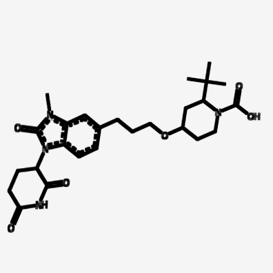 Cn1c(=O)n(C2CCC(=O)NC2=O)c2ccc(CCCOC3CCN(C(=O)O)C(C(C)(C)C)C3)cc21